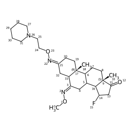 CON=C1CC2C(CC[C@]3(C)C(=O)CC(F)C23)[C@@]2(C)CCC(=NOCCN3CCCCC3)CC12